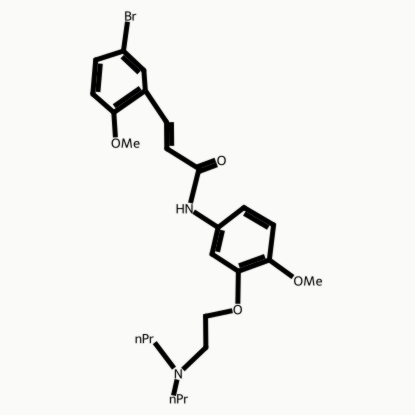 CCCN(CCC)CCOc1cc(NC(=O)C=Cc2cc(Br)ccc2OC)ccc1OC